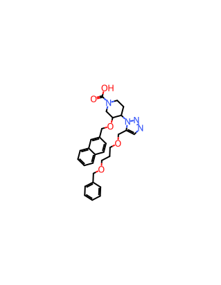 O=C(O)N1CCC(n2nncc2COCCCOCc2ccccc2)C(OCc2ccc3ccccc3c2)C1